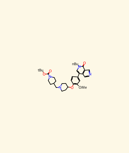 CCCCn1cc(-c2ccc(OC3CCN(CC4CCN(C(=O)OC(C)(C)C)CC4)CC3)c(OC)c2)c2ccncc2c1=O